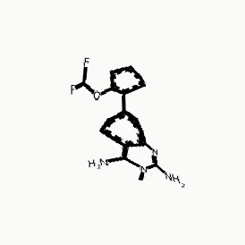 CN1C(N)=Nc2cc(-c3ccccc3OC(F)F)ccc2C1N